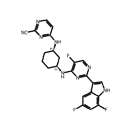 N#Cc1nccc(N[C@@H]2CCC[C@H](Nc3nc(-c4c[nH]c5c(F)cc(F)cc45)ncc3F)C2)n1